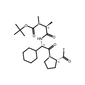 C[C@@H](C(=O)N[C@H](C(=O)N1CCC[C@H]1C(=O)F)C1CCCCC1)N(C)C(=O)OC(C)(C)C